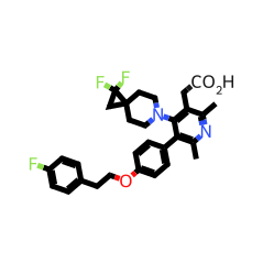 Cc1nc(C)c(-c2ccc(OCCc3ccc(F)cc3)cc2)c(N2CCC3(CC2)CC3(F)F)c1CC(=O)O